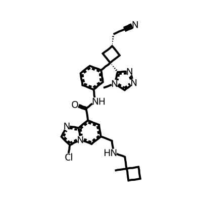 Cn1cnnc1[C@]1(c2cccc(NC(=O)c3cc(CNCC4(C)CCC4)cn4c(Cl)cnc34)c2)C[C@H](CC#N)C1